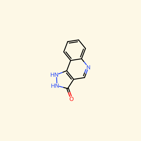 O=c1[nH][nH]c2c1cnc1ccccc12